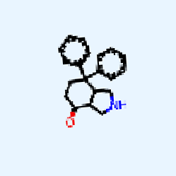 O=C1CCC(c2ccccc2)(c2ccccc2)C2CNCC12